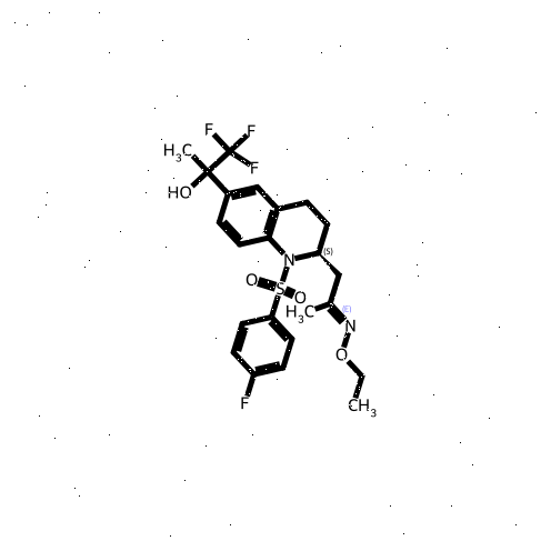 CCO/N=C(\C)C[C@@H]1CCc2cc(C(C)(O)C(F)(F)F)ccc2N1S(=O)(=O)c1ccc(F)cc1